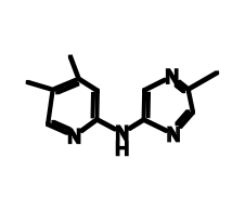 Cc1cnc(Nc2cc(C)c(C)cn2)cn1